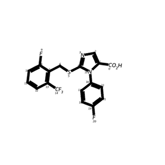 O=C(O)c1cnc(SCc2c(F)cccc2C(F)(F)F)n1-c1ccc(F)cc1